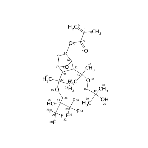 C=C(C)C(=O)OC1CC2OC1C(C(C)(C)OCC(C)(C)O)C2C(C)(C)OCC(O)(C(F)(F)F)C(F)(F)F